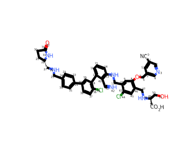 N#Cc1cncc(COc2cc(CNc3cccc(-c4cc(-c5ccc(CNC[C@@H]6CCC(=O)N6)cc5)ccc4Cl)c3C=N)c(Cl)cc2CN[C@@H](CO)C(=O)O)c1